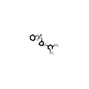 Cc1cc(C)c[n+](C)c1.O=P([O-])(Oc1ccccc1)Oc1ccccc1